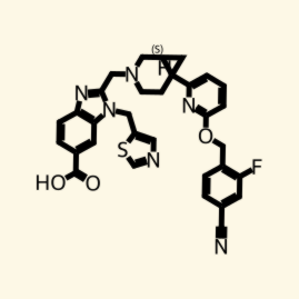 N#Cc1ccc(COc2cccc(C34CCN(Cc5nc6ccc(C(=O)O)cc6n5Cc5cncs5)C[C@H]3C4)n2)c(F)c1